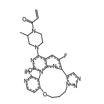 C=CC(=O)N1CCN(c2nc(=O)n3c4nc(c(F)cc24)-c2cnnn2CCCOc2ccnc(C(C)C)c2-3)CC1C